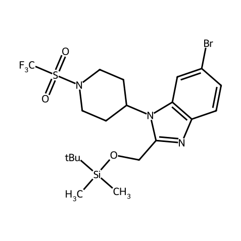 CC(C)(C)[Si](C)(C)OCc1nc2ccc(Br)cc2n1C1CCN(S(=O)(=O)C(F)(F)F)CC1